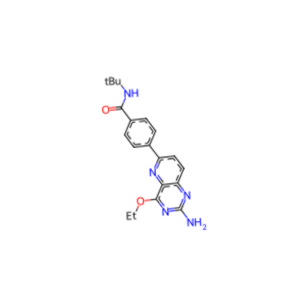 CCOc1nc(N)nc2ccc(-c3ccc(C(=O)NC(C)(C)C)cc3)nc12